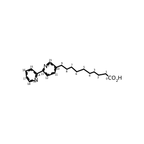 O=C(O)CCCCCCCCCc1ccc(-c2ccccn2)nc1